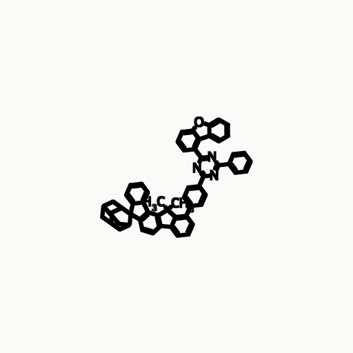 CC1(C)c2c(-c3ccc(-c4nc(-c5ccccc5)nc(-c5cccc6oc7ccccc7c56)n4)cc3)cccc2-c2ccc3c(c21)-c1ccccc1C31C2CC3CC(C2)CC1C3